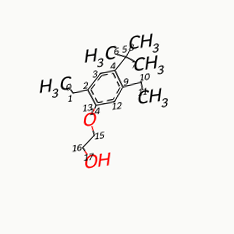 CCc1cc(C(C)(C)C)c(CC)cc1OCCO